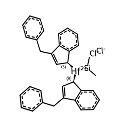 C[Si](C)=[Hf+2]([C@@H]1C=C(Cc2ccccc2)c2ccccc21)[C@H]1C=C(Cc2ccccc2)c2ccccc21.[Cl-].[Cl-]